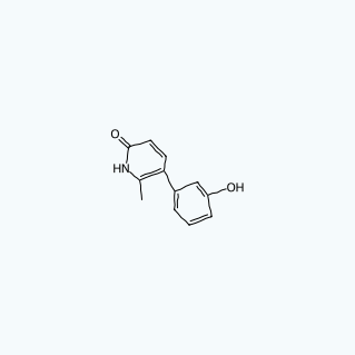 Cc1[nH]c(=O)ccc1-c1cccc(O)c1